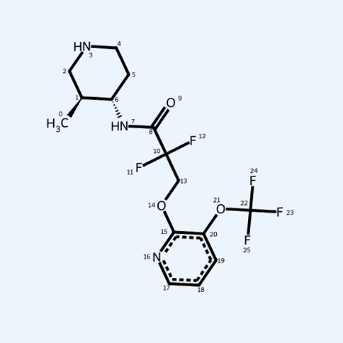 C[C@H]1CNCC[C@@H]1NC(=O)C(F)(F)COc1ncccc1OC(F)(F)F